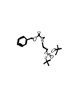 CN(CCOP(=O)(OC(C)(C)C)OC(C)(C)C)C(=O)OCc1ccccc1